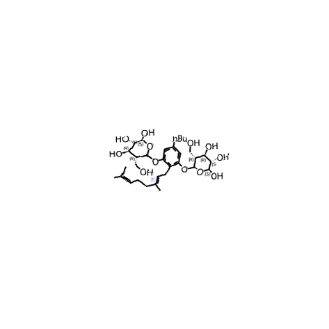 CCCCc1cc(OC2O[C@H](O)[C@@H](O)[C@H](O)[C@H]2CO)c(C/C=C(\C)CCC=C(C)C)c(OC2O[C@H](O)[C@@H](O)[C@H](O)[C@H]2CO)c1